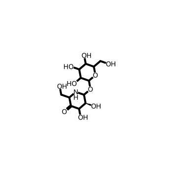 O=C1C(CO)NC(OC2OC(CO)C(O)C(O)C2O)[C@@H](O)C1O